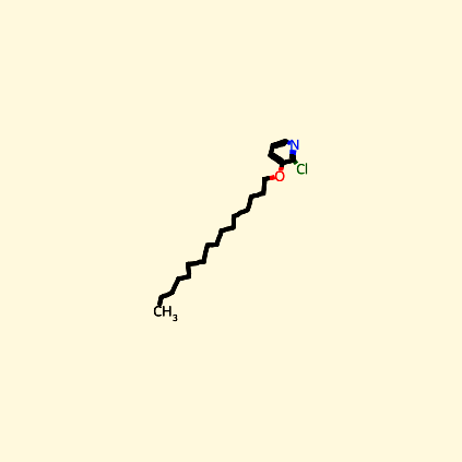 CCCCCCCCCCCCCCCCOc1cccnc1Cl